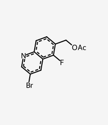 CC(=O)OCc1ccc2ncc(Br)cc2c1F